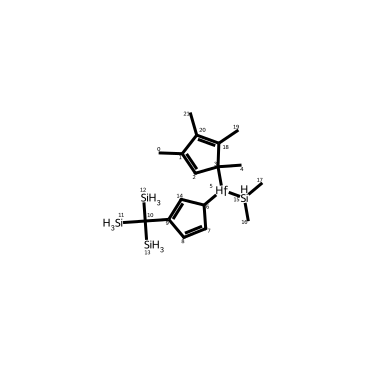 CC1=C[C](C)([Hf]([CH]2C=CC(C([SiH3])([SiH3])[SiH3])=C2)[SiH](C)C)C(C)=C1C